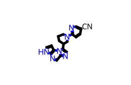 N#Cc1ccc(N2CCCC(c3cnc4cnc5[nH]ccc5n34)C2)nc1